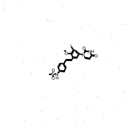 COc1c(I)cc(-n2ccc(=O)[nH]c2=O)cc1/C=C/c1ccc(NS(C)(=O)=O)cc1